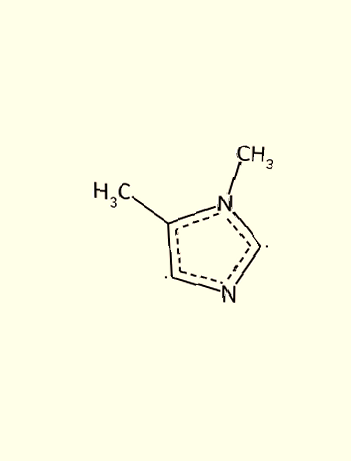 Cc1[c]n[c]n1C